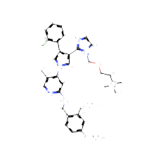 COc1ccc(CNc2cc(-n3cc(-c4ccccc4Cl)c(-c4nccn4COCC[Si](C)(C)C)c3)c(C)cn2)c(OC)c1